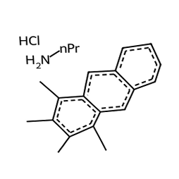 CCCN.Cc1c(C)c(C)c2cc3ccccc3cc2c1C.Cl